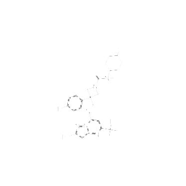 O=C(NC1CCC(O)CC1)N1CC(CNc2cc(C(F)(F)F)nc3cc(Br)nn23)(c2ccc(F)cc2)C1